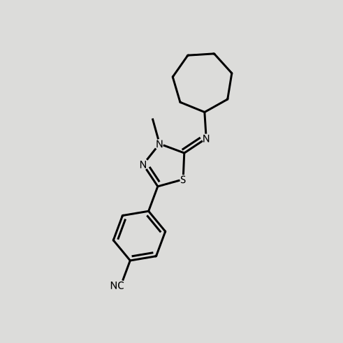 Cn1nc(-c2ccc(C#N)cc2)s/c1=N/C1CCCCCC1